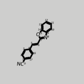 N#Cc1ccc(C=Cc2nc3ccccc3o2)cc1